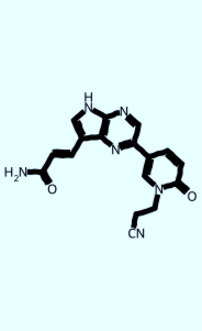 N#CCCn1cc(-c2cnc3[nH]cc(/C=C/C(N)=O)c3n2)ccc1=O